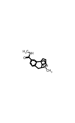 CNC(=O)c1ccc2c(c1)C13CCCC1(O)C(C2)N(C)CC3